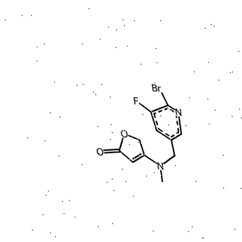 CN(Cc1cnc(Br)c(F)c1)C1=CC(=O)OC1